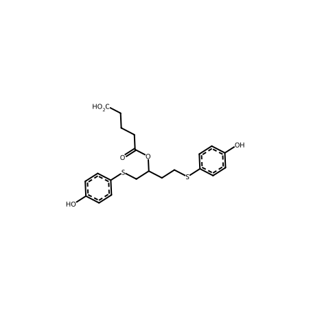 O=C(O)CCCC(=O)OC(CCSc1ccc(O)cc1)CSc1ccc(O)cc1